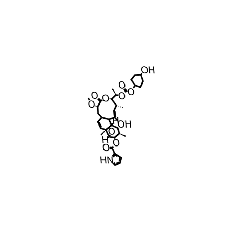 CO[C@H]1CC2C=C[C@]3(C)[C@H]4[C@H](O)[C@@H](C)[C@@H](OC(=O)c5ccc[nH]5)[C@@H]3O[C@@]24/C(C)=C/[C@@H](C)[C@@H]([C@@H](C)OC(=O)OC2CCC(O)CC2)OC1=O